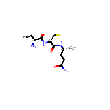 CC(C)C[C@H](N)C(=O)N[C@@H](CS)C(=O)N[C@@H](CCC(N)=O)C(=O)O